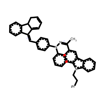 C/C(=N/N(c1ccccc1)c1ccc(/C=C2\C3=CC=CCC3c3ccccc32)cc1)c1ccc2c(c1)c1ccccc1n2CCC(C)C